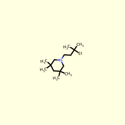 CCC(C)(C)CCN1CC(C)(C)CC(C)(C)C1